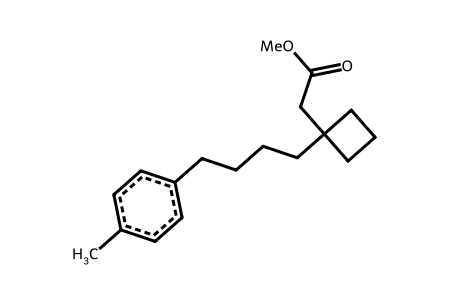 COC(=O)CC1(CCCCc2ccc(C)cc2)CCC1